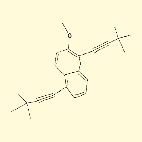 COc1ccc2c(C#CC(C)(C)C)cccc2c1C#CC(C)(C)C